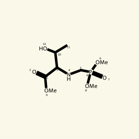 COC(=O)C(NCP(=O)(OC)OC)C(C)O